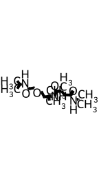 CC(C)NC(=O)COCCC(C)(C)NC(=O)C(C)CC(=O)NC(C)C